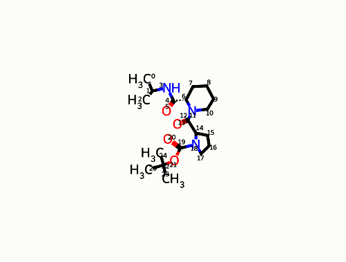 CC(C)NC(=O)[C@@H]1CCCCN1C(=O)C1CCCN1C(=O)OC(C)(C)C